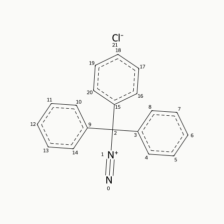 N#[N+]C(c1ccccc1)(c1ccccc1)c1ccccc1.[Cl-]